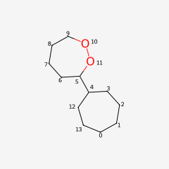 C1CCCC(C2CCCCOO2)CC1